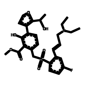 CCN(CC)CC=Cc1cc(F)ccc1S(=O)(=O)Cc1ccc(-c2ccoc2C(C)O)c(O)c1C(=O)OC